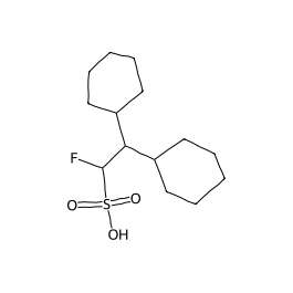 O=S(=O)(O)C(F)C(C1CCCCC1)C1CCCCC1